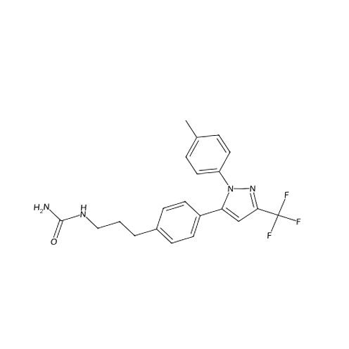 Cc1ccc(-n2nc(C(F)(F)F)cc2-c2ccc(CCCNC(N)=O)cc2)cc1